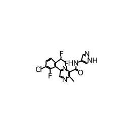 Cc1ncc(-c2c(C(F)F)ccc(Cl)c2F)nc1C(=O)Nc1cn[nH]c1